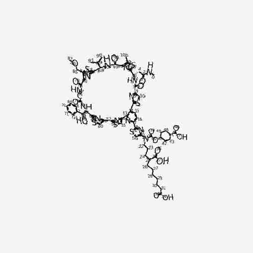 CNC(=O)C[C@@H]1NC(=O)c2csc(n2)-c2ccc(-c3nc(N(CCCC(CCCCCCC(=O)O)C(=O)O)C(=O)O[C@H]4CC[C@H](C(=O)O)CC4)cs3)nc2-c2csc(n2)-c2csc(n2)[C@H]([C@@H](O)c2ccccc2)NC(=O)CNC(=O)c2nc(sc2COC)C(C(C)C)NC(=O)c2nc1sc2C